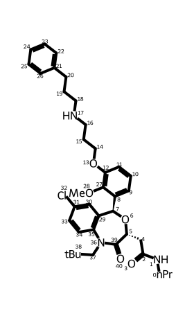 CCCNC(=O)C[C@H]1O[C@H](c2cccc(OCCCNCCCc3ccccc3)c2OC)c2cc(Cl)ccc2N(CC(C)(C)C)C1=O